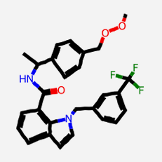 COOCc1ccc(C(C)NC(=O)c2cccc3ccn(Cc4cccc(C(F)(F)F)c4)c23)cc1